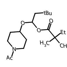 CCC(C)(C)C(=O)OC(CC(C)(C)C)OC1CCN(C(C)=O)CC1